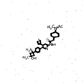 CC(=O)N(C)C1CCC(CC(=O)Nc2cc(-c3ccsc3)c(-c3ccc(C4(N)CC(C)(O)C4)cc3)cn2)CC1